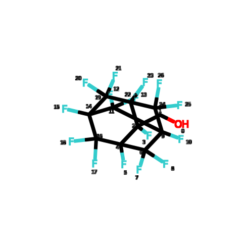 OCC1(F)C2(F)C(F)(F)C3(F)C(F)(F)C(F)(C2(F)F)C(F)(F)C1(F)C3(F)F